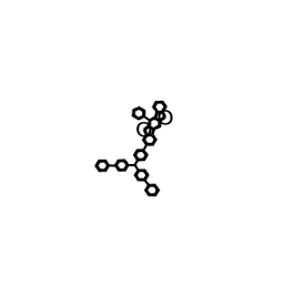 c1ccc(-c2ccc(C(c3ccc(-c4ccccc4)cc3)c3ccc(-c4ccc5c(c4)oc4c(-c6ccccc6)c6c(cc45)oc4ccccc46)cc3)cc2)cc1